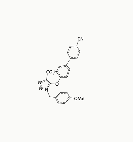 COc1ccc(Cn2nnc(C(=O)O)c2Oc2ccc(-c3ccc(C#N)cc3)cc2)cc1